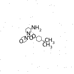 CC(C)[C@H]1CC[C@@H](OC[C@H]2[C@@H](N)CCCN2C(=O)N2CCOCC2)CC1